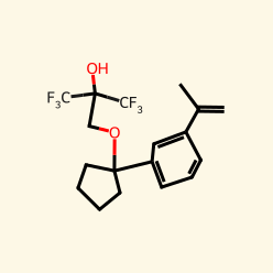 C=C(C)c1cccc(C2(OCC(O)(C(F)(F)F)C(F)(F)F)CCCC2)c1